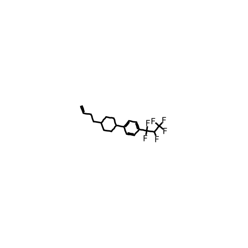 C=CCCC1CCC(c2ccc(C(F)(F)C(F)C(F)(F)F)cc2)CC1